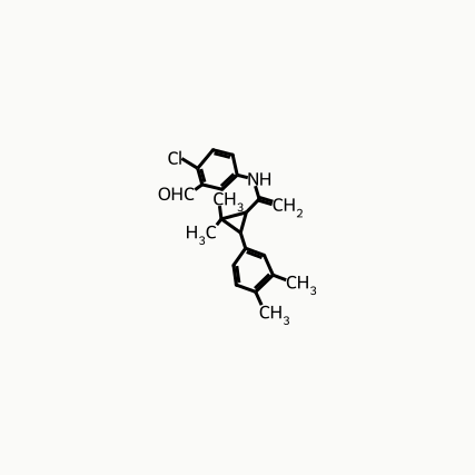 C=C(Nc1ccc(Cl)c(C=O)c1)C1C(c2ccc(C)c(C)c2)C1(C)C